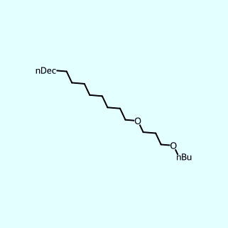 CCCCCCCCCCCCCCCCCCOCCCOCCCC